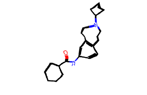 O=C(Nc1ccc2c(c1)CCN(C1CCC1)CC2)C1CCCCC1